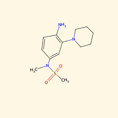 CN(c1ccc(N)c(N2CCCCC2)c1)S(C)(=O)=O